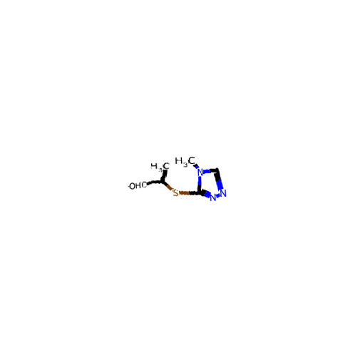 CC([C]=O)Sc1nncn1C